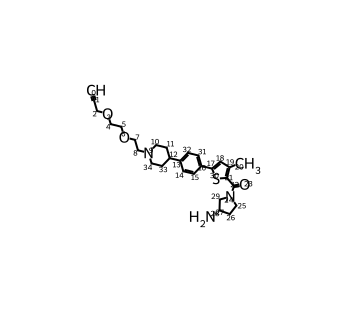 C#CCOCCOCCN1CCC(c2ccc(-c3cc(C)c(C(=O)N4CC[C@H](N)C4)s3)cc2)CC1